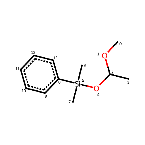 COC(C)O[Si](C)(C)c1ccccc1